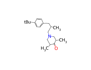 CC(Cc1ccc(C(C)(C)C)cc1)CN1CC(C)C(=O)C(C)C1